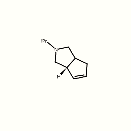 CC(C)N1CC2CC=C[C@@H]2C1